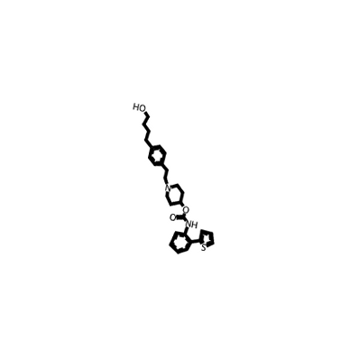 O=C(Nc1ccccc1-c1cccs1)OC1CCN(CCc2ccc(CCCCO)cc2)CC1